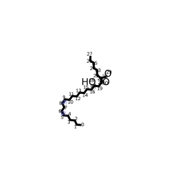 CCCCC/C=C\C/C=C\CCCCCCC[C@H](O)CC1=C(CCCCCC)C(=O)O1